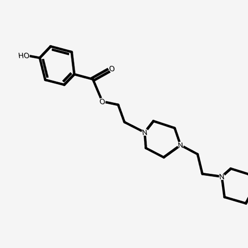 O=C(OCCN1CCN(CCN2CCOCC2)CC1)c1ccc(O)cc1